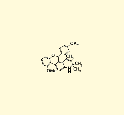 COc1cccc2c1-c1ccc3c(c1C(c1ccc(OC(C)=O)cc1)O2)C(C)=CC(C)(C)N3